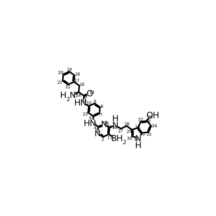 Bc1cnc(Nc2cccc(NC(=O)C(N)Cc3ccccc3)c2)nc1NCCc1c[nH]c2ccc(O)cc12